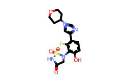 O=C1CN(c2c(O)ccc(-c3cn(C4CCOCC4)cn3)c2F)S(=O)(=O)N1